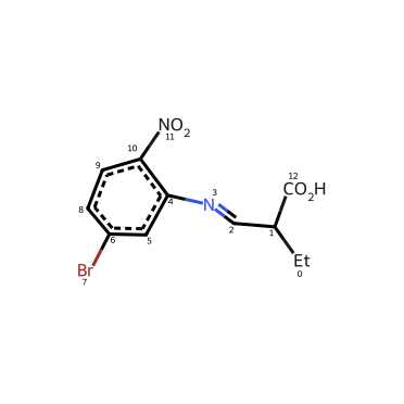 CCC(C=Nc1cc(Br)ccc1[N+](=O)[O-])C(=O)O